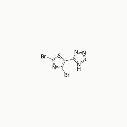 Brc1nc(Br)c(-c2nnc[nH]2)s1